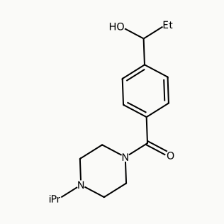 CCC(O)c1ccc(C(=O)N2CCN(C(C)C)CC2)cc1